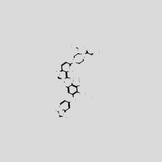 C=CC(=O)N1CCN(c2ccc3ncnc(Nc4c(F)cc(Oc5ccn6ncnc6c5)c(C)c4F)c3n2)C[C@H]1CC